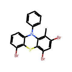 Cc1c(Br)cc(Br)c2c1N(c1ccccc1)c1cccc(Br)c1S2